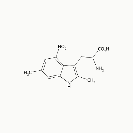 Cc1cc([N+](=O)[O-])c2c(CC(N)C(=O)O)c(C)[nH]c2c1